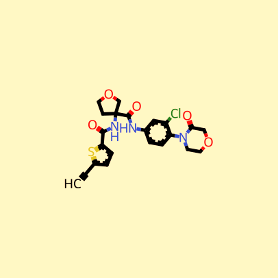 C#Cc1ccc(C(=O)NC2(C(=O)Nc3ccc(N4CCOCC4=O)c(Cl)c3)CCOC2)s1